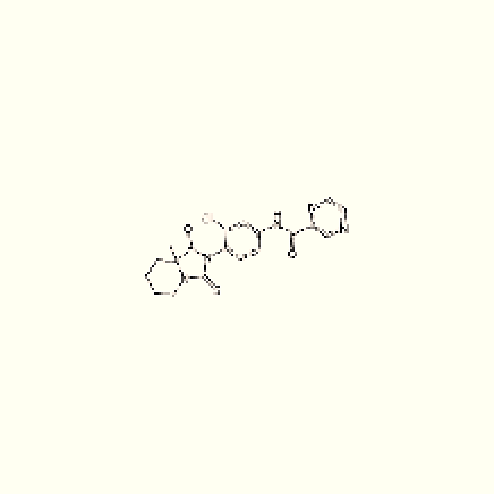 CC12CCCCN1C(=S)N(c1ccc(NC(=O)c3cnccn3)cc1Cl)C2=O